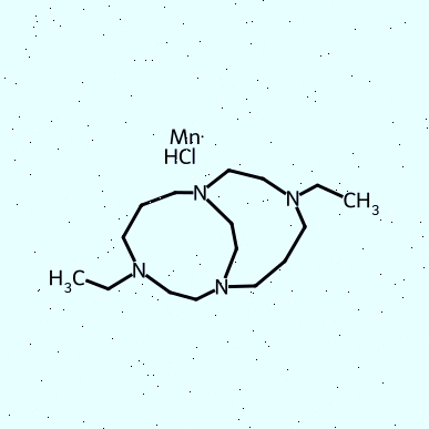 CCN1CCCN2CCN(CC)CCCN(CC1)CC2.Cl.[Mn]